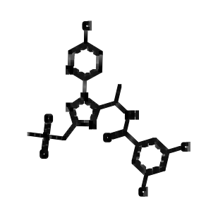 CC(NC(=O)c1cc(Cl)cc(Cl)c1)c1nc(CS(C)(=O)=O)nn1-c1ccc(Cl)cn1